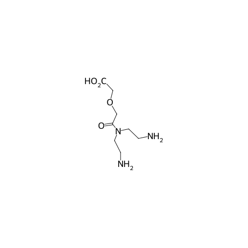 NCCN(CCN)C(=O)COCC(=O)O